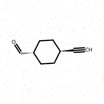 C#C[C@H]1CC[C@H](C=O)CC1